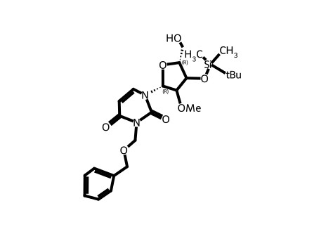 COC1C(O[Si](C)(C)C(C)(C)C)[C@@H](CO)O[C@H]1n1ccc(=O)n(COCc2ccccc2)c1=O